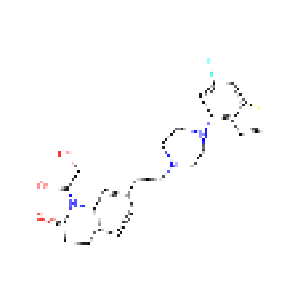 O=C(CO)N1C(=O)CCc2ccc(CCN3CCN(c4cc(F)cc5sccc45)CC3)cc21